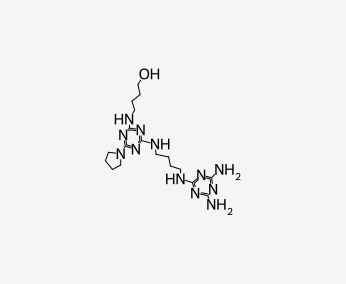 Nc1nc(N)nc(NCCCCNc2nc(NCCCCO)nc(N3CCCC3)n2)n1